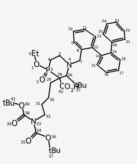 CCOP1(=O)CCN(Cc2ccccc2-c2ccccc2-c2ccccc2)C(C(C)(C)C)C1(CCCCN(C(=O)OC(C)(C)C)C(=O)OC(C)(C)C)C(=O)O